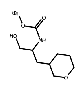 CC(C)(C)OC(=O)NC(CO)CC1CCCOC1